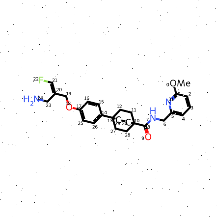 COc1cccc(CNC(=O)C23CCC(c4ccc(OC/C(=C/F)CN)cc4)(CC2)CC3)n1